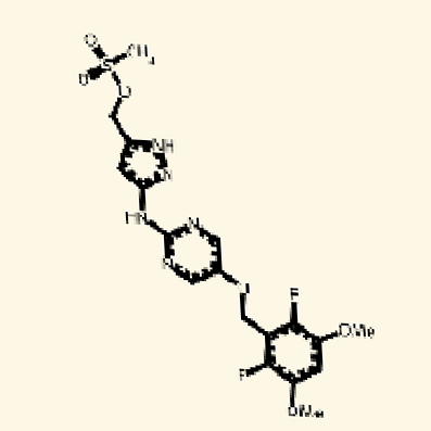 COc1cc(OC)c(F)c(COc2cnc(Nc3cc(COS(C)(=O)=O)[nH]n3)nc2)c1F